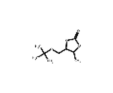 CC1OC(=O)OC1COC(C)(C)C